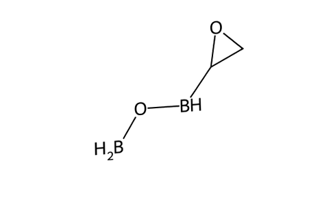 BOBC1CO1